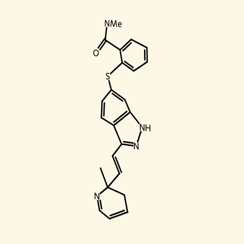 CNC(=O)c1ccccc1Sc1ccc2c(/C=C/C3(C)CC=CC=N3)n[nH]c2c1